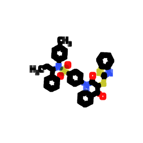 CCC(c1ccccc1)N(c1ccc(C)cc1)S(=O)(=O)c1ccc(NC(=O)C(Sc2nc3ccccc3s2)C(=O)c2ccccc2)cc1